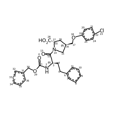 O=C(N[C@H](CCc1ccccc1)C(=O)N1C[C@H](COc2ccc(Cl)cc2)C[C@H]1C(=O)O)OCc1ccccc1